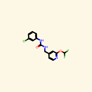 O=C(NCc1ccnc(OC(F)F)c1)Nc1cccc(Cl)c1